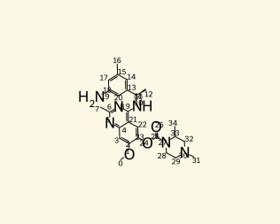 COc1cc2nc(C)nc(N[C@H](C)c3cc(C)cc(N)c3)c2cc1OC(=O)N1CCN(C)CC1C